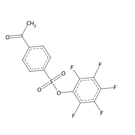 CC(=O)c1ccc(S(=O)(=O)Oc2c(F)c(F)c(F)c(F)c2F)cc1